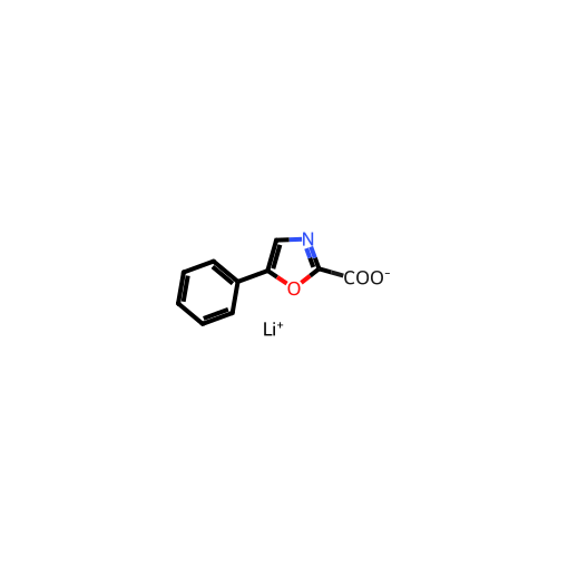 O=C([O-])c1ncc(-c2ccccc2)o1.[Li+]